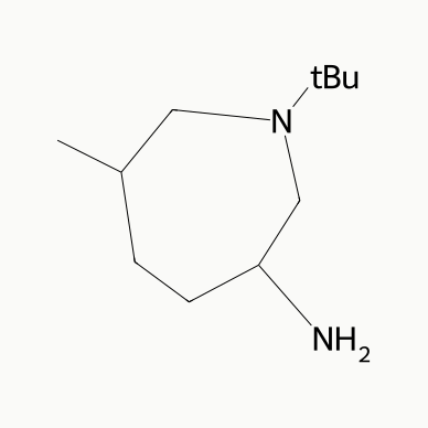 CC1CCC(N)CN(C(C)(C)C)C1